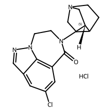 Cl.O=C1c2cc(Cl)cc3cnn(c23)CCN1[C@@H]1CN2CCC1CC2